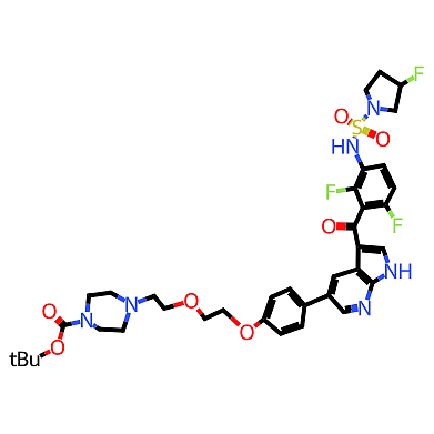 CC(C)(C)OC(=O)N1CCN(CCOCCOc2ccc(-c3cnc4[nH]cc(C(=O)c5c(F)ccc(NS(=O)(=O)N6CCC(F)C6)c5F)c4c3)cc2)CC1